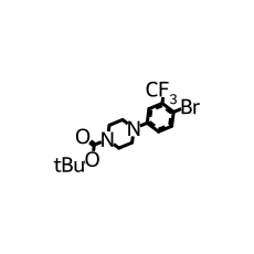 CC(C)(C)OC(=O)N1CCN(c2ccc(Br)c(C(F)(F)F)c2)CC1